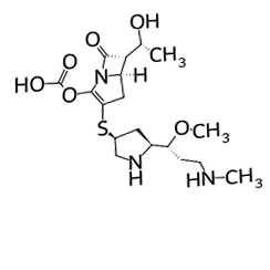 CNCC[C@@H](OC)[C@@H]1C[C@H](SC2=C(OC(=O)O)N3C(=O)[C@H]([C@@H](C)O)[C@H]3C2)CN1